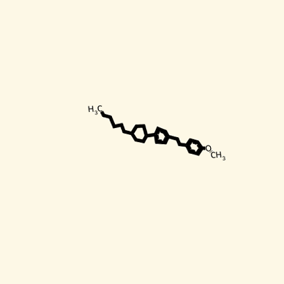 CCCCCCC1CCC(c2ccc(CCc3ccc(OC)cc3)cc2)CC1